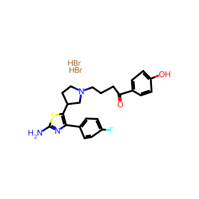 Br.Br.Nc1nc(-c2ccc(F)cc2)c(C2CCN(CCCC(=O)c3ccc(O)cc3)C2)s1